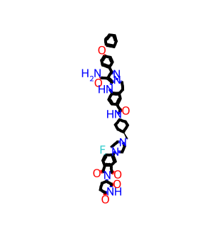 NC(=O)c1c(-c2ccc(Oc3ccccc3)cc2)nn2c1Nc1ccc(C(=O)N[C@H]3CC[C@H](CN4CCN(c5cc6c(cc5F)C(=O)N(C5CCC(=O)NC5=O)C6=O)CC4)CC3)cc1CC2